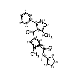 Cc1onc(-c2ccccc2)c1C(=O)c1cc(C(=O)NC2CCCC2)n(C)c1